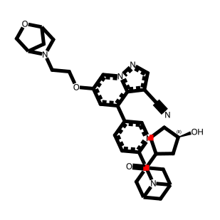 N#Cc1cnn2cc(OCCN3CC4CC3CO4)cc(-c3ccc(N4CC5CC(C4)N5C(=O)C4CC[C@@H](O)C4)nc3)c12